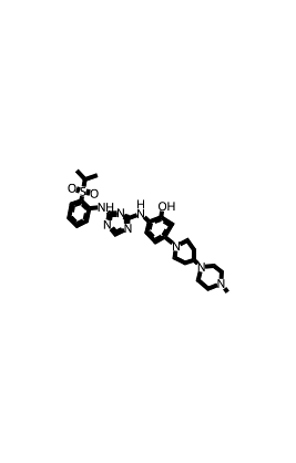 CC(C)S(=O)(=O)c1ccccc1Nc1ncnc(Nc2ccc(N3CCC(N4CCN(C)CC4)CC3)cc2O)n1